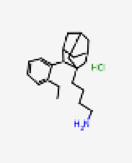 CCc1ccccc1C1C2CC3CC(C2)CC1(CCCCN)C3.Cl